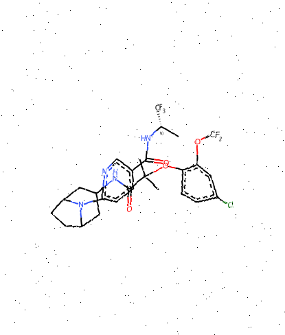 C[C@H](NC(=O)c1ccc(N2C3CCC2CC(NC(=O)C(C)(C)Oc2ccc(Cl)cc2OC(F)(F)F)C3)nc1)C(F)(F)F